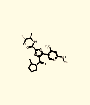 CC1CCCN1C(=O)c1nc(C(=O)N[C@H](C)[C@@H](C)O)sc1-c1cnc(NC(C)(C)C)cc1C(F)(F)F